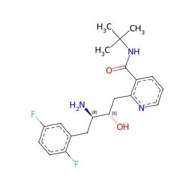 CC(C)(C)NC(=O)c1cccnc1C[C@H](O)[C@H](N)Cc1cc(F)ccc1F